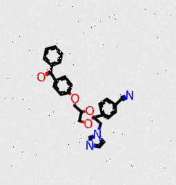 N#Cc1ccc(C2(Cn3ccnc3)OCC(COc3ccc(C(=O)c4ccccc4)cc3)O2)cc1